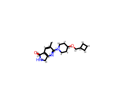 Cc1cc2c(nc1N1CCC(OCC3CCC3)CC1)CNC2=O